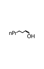 CCCCC/C=C\O